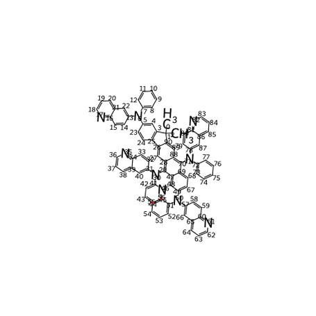 CC1(C)c2cc(N(c3ccccc3)c3ccc4ncccc4c3)ccc2-c2cc3c(N(c4ccc5ncccc5c4)c4ccccn4)c4cc(N(c5ccccc5)c5ccc6ncccc6c5)ccc4c(N(c4ccccc4)c4ccc5ncccc5c4)c3cc21